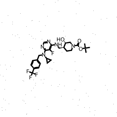 CC(C)(C)OC(=O)N1CC[C@@H](CNc2ncnc(N(Cc3ccc(C(F)(F)F)cc3)C3CC3)c2F)[C@H](O)C1